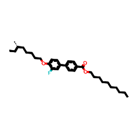 CCCCCCCCCCOC(=O)c1ccc(-c2ccc(OCCCCC[C@@H](C)CC)c(F)c2)cc1